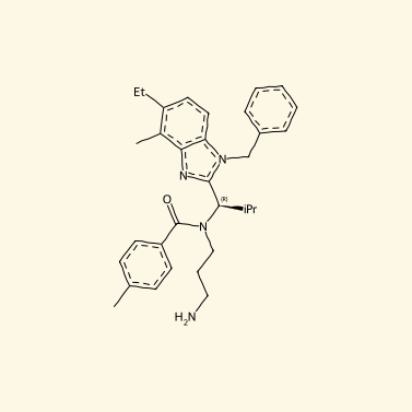 CCc1ccc2c(nc([C@@H](C(C)C)N(CCCN)C(=O)c3ccc(C)cc3)n2Cc2ccccc2)c1C